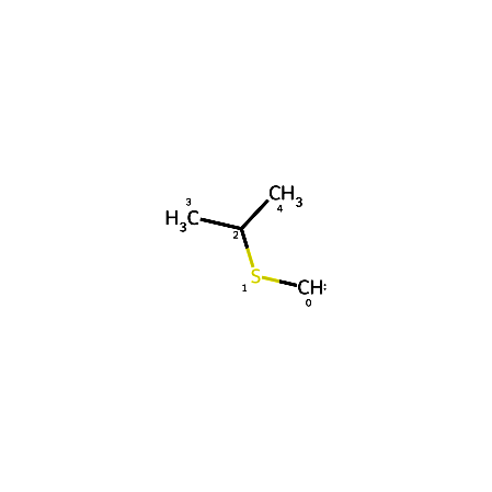 [CH]SC(C)C